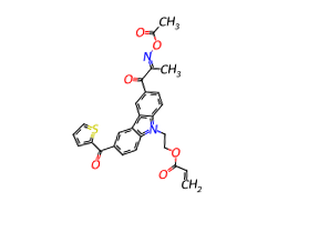 C=CC(=O)OCCn1c2ccc(C(=O)/C(C)=N/OC(C)=O)cc2c2cc(C(=O)c3cccs3)ccc21